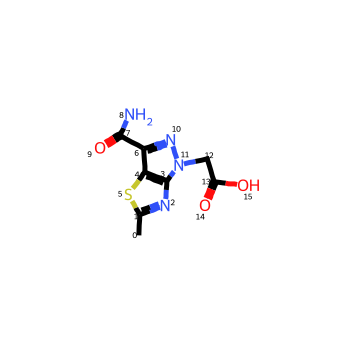 Cc1nc2c(s1)c(C(N)=O)nn2CC(=O)O